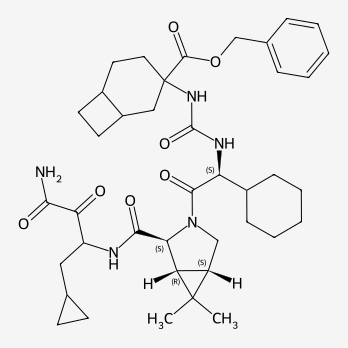 CC1(C)[C@@H]2[C@@H](C(=O)NC(CC3CC3)C(=O)C(N)=O)N(C(=O)[C@@H](NC(=O)NC3(C(=O)OCc4ccccc4)CCC4CCC4C3)C3CCCCC3)C[C@@H]21